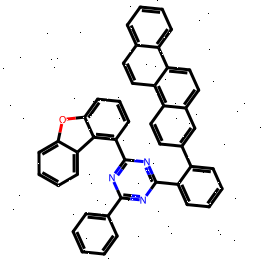 c1ccc(-c2nc(-c3ccccc3-c3ccc4c(ccc5c6ccccc6ccc45)c3)nc(-c3cccc4oc5ccccc5c34)n2)cc1